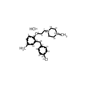 Cc1ccc(OCCN2CCN(C)CC2)c(Cc2ccc(Cl)cc2)c1.Cl